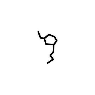 C[CH]C1CCCC(CCCC)C1